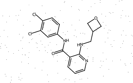 O=C(Nc1ccc(Cl)c(Cl)c1)c1cccnc1NCC1COC1